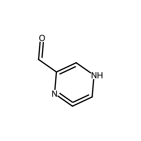 O=CC1=CNC=C=N1